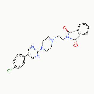 O=C1c2ccccc2C(=O)N1CCN1CCN(c2ncc(-c3ccc(Cl)cc3)cn2)CC1